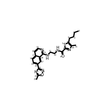 CCCCc1sc(C(=O)NCCNc2nccc3ccc(-c4noc(C)n4)cc23)nc1C